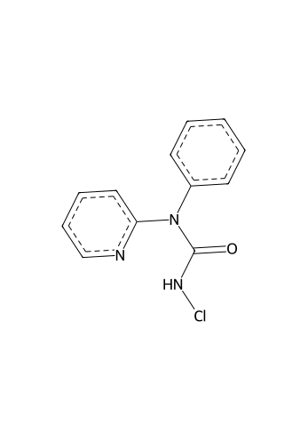 O=C(NCl)N(c1ccccc1)c1ccccn1